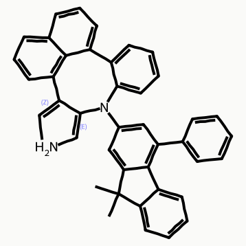 C/C=C1\C(=C/N)N(c2cc(-c3ccccc3)c3c(c2)C(C)(C)c2ccccc2-3)c2ccccc2-c2cccc3cccc1c23